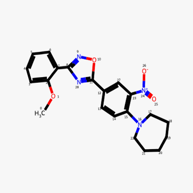 COc1ccccc1-c1noc(-c2ccc(N3CCCCCC3)c([N+](=O)[O-])c2)n1